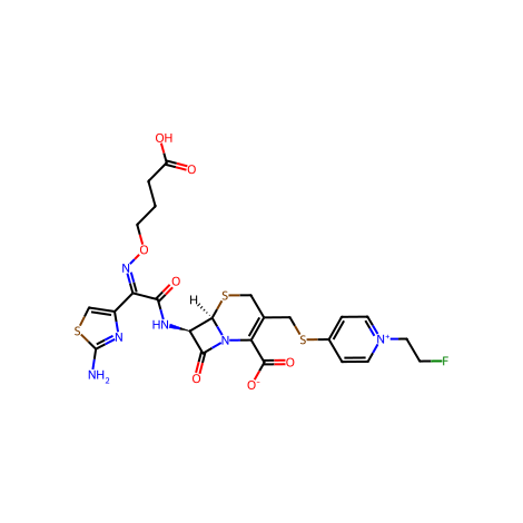 Nc1nc(/C(=N/OCCCC(=O)O)C(=O)N[C@@H]2C(=O)N3C(C(=O)[O-])=C(CSc4cc[n+](CCF)cc4)CS[C@H]23)cs1